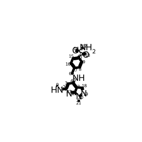 CNc1cc(NCc2ccc(S(N)(=O)=O)cc2)c2cnn(C)c2n1